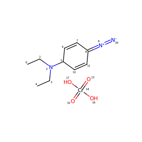 CCN(CC)C1C=CC(=[N+]=[N-])C=C1.[O]=[Cr](=[O])([OH])[OH]